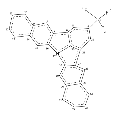 FC(F)(F)c1cc2c3cc4ccccc4cc3n3c4cc5ccccc5cc4c(c1)c23